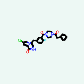 O=C(Cc1ccccc1)N1CCN(C(=O)c2cc(Cc3c[nH]c(=O)c4cc(Cl)cn34)ccc2F)CC1